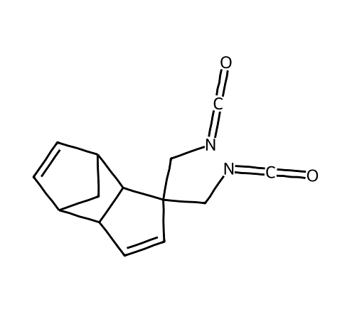 O=C=NCC1(CN=C=O)C=CC2C3C=CC(C3)C21